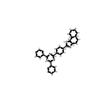 c1ccc(-c2nc(-c3ccccc3)nc(-c3ccc(-c4nc5ccc6ccccc6c5s4)cc3)n2)cc1